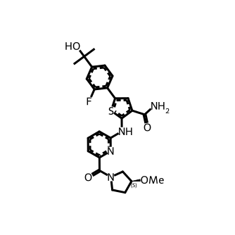 CO[C@H]1CCN(C(=O)c2cccc(Nc3sc(-c4ccc(C(C)(C)O)cc4F)cc3C(N)=O)n2)C1